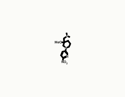 COC1(CN(C)C)CCCN(c2ccc([N+](=O)[O-])nc2)C1